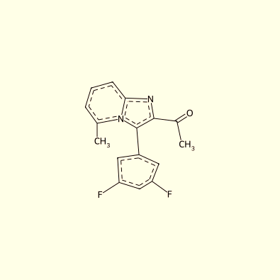 CC(=O)c1nc2cccc(C)n2c1-c1cc(F)cc(F)c1